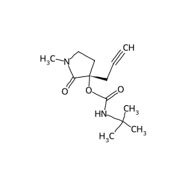 C#CC[C@]1(OC(=O)NC(C)(C)C)CCN(C)C1=O